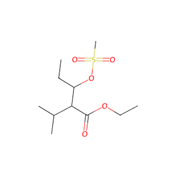 CCOC(=O)C(C(C)C)C(CC)OS(C)(=O)=O